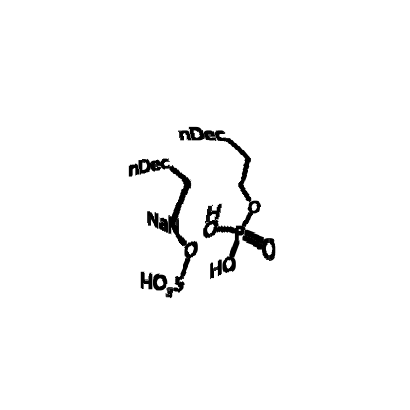 CCCCCCCCCCCCOP(=O)(O)O.CCCCCCCCCCCCOS(=O)(=O)O.[NaH]